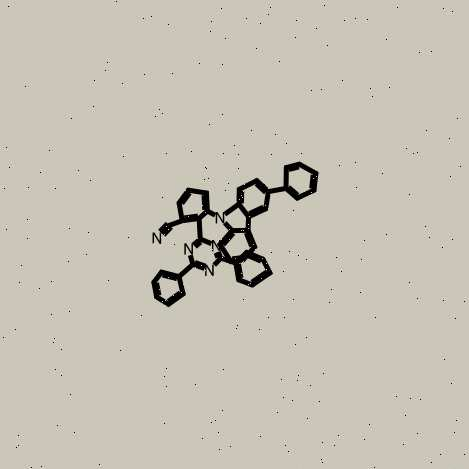 N#Cc1cccc(-n2c3ccccc3c3cc(-c4ccccc4)ccc32)c1-c1nc(-c2ccccc2)nc(-c2ccccc2)n1